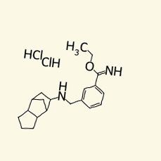 CCOC(=N)c1cccc(CNC2CC3CC2C2CCCC32)c1.Cl.Cl